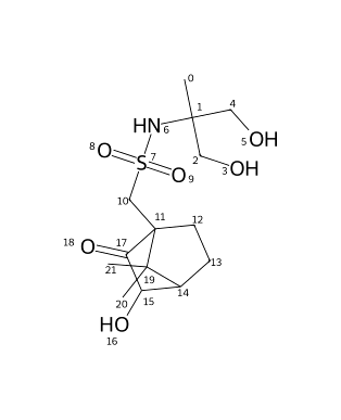 CC(CO)(CO)NS(=O)(=O)CC12CCC(C(O)C1=O)C2(C)C